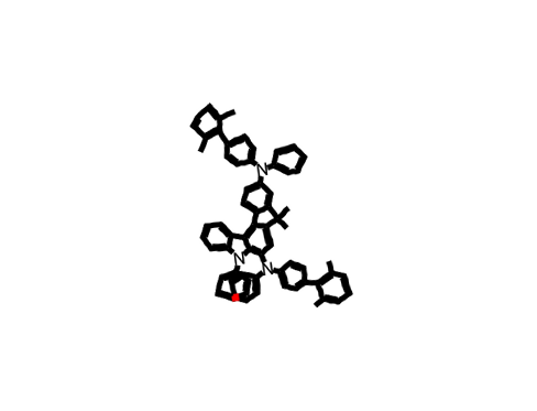 Cc1cccc(C)c1-c1ccc(N(c2ccccc2)c2ccc3c(c2)C(C)(C)c2cc(N(c4ccccc4)c4ccc(-c5c(C)cccc5C)cc4)c4c(c2-3)c2ccccc2n4-c2ccccc2)cc1